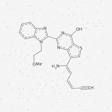 C#C/C=C\C=C(/N)c1csc2c(O)nc(-c3nc4ccccc4n3CCOC)nc12